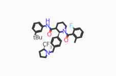 Cc1cccc(F)c1C(=O)N1CCCC(C(=O)Nc2cccc(C(C)(C)C)c2)[C@@H]1c1ccc(CN2CCC[C@@H]2C(F)(F)F)cc1